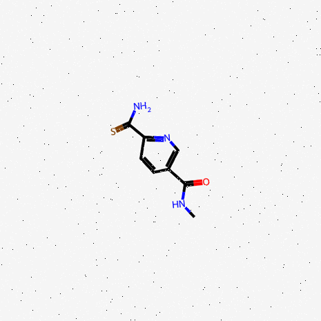 CNC(=O)c1ccc(C(N)=S)nc1